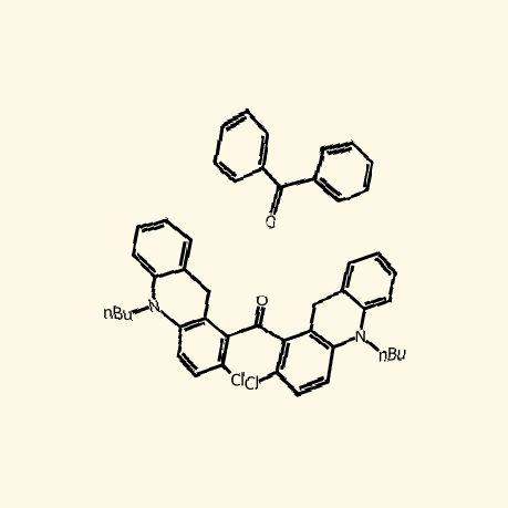 CCCCN1c2ccccc2Cc2c1ccc(Cl)c2C(=O)c1c(Cl)ccc2c1Cc1ccccc1N2CCCC.O=C(c1ccccc1)c1ccccc1